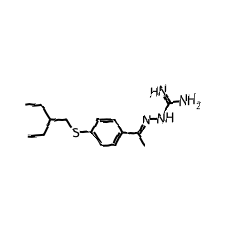 CCC(CC)CSc1ccc(C(C)=NNC(=N)N)cc1